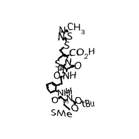 CSCC[C@H](NC(=O)OC(C)(C)C)C(=O)Nc1ccccc1CC(=O)NC1C(=O)N2C(C(=O)O)=C(CSc3nnc(C)s3)CS[C@H]12